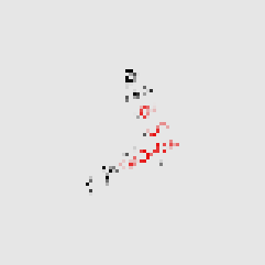 [O-2].[O-2].[O-2].[O-2].[O-2].[V+5].[V+5].[Zr].[Zr]